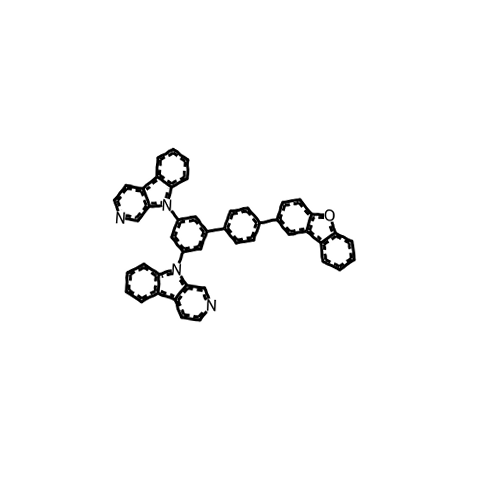 c1ccc2c(c1)oc1ccc(-c3ccc(-c4cc(-n5c6ccccc6c6ccncc65)cc(-n5c6ccccc6c6ccncc65)c4)cc3)cc12